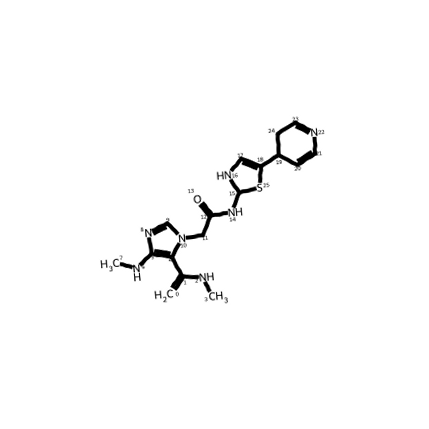 C=C(NC)c1c(NC)ncn1CC(=O)NC1NC=C(C2C=CN=CC2)S1